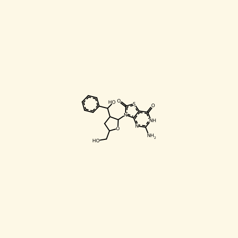 Nc1nc2c(sc(=O)n2C2OC(CO)CC2C(O)c2ccccc2)c(=O)[nH]1